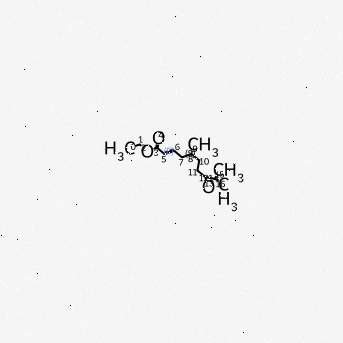 CCOC(=O)/C=C/C[C@@H](C)CCC1OC1(C)C